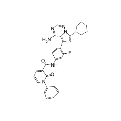 Nc1ncnn2c(C3CCCCC3)cc(-c3ccc(NC(=O)c4cccn(-c5ccccc5)c4=O)cc3F)c12